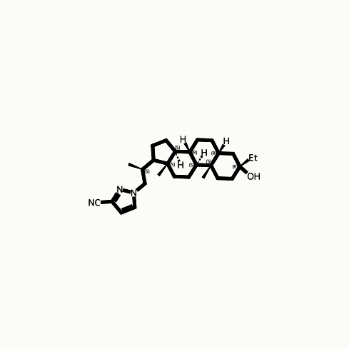 CC[C@@]1(O)CC[C@@]2(C)[C@H](CC[C@@H]3[C@@H]2CC[C@]2(C)C([C@H](C)Cn4ccc(C#N)n4)CC[C@@H]32)C1